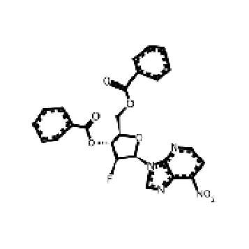 O=C(OC[C@H]1O[C@@H](n2cnc3c([N+](=O)[O-])ccnc32)[C@@H](F)[C@@H]1OC(=O)c1ccccc1)c1ccccc1